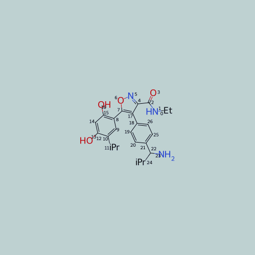 CCNC(=O)c1noc(-c2cc(C(C)C)c(O)cc2O)c1-c1ccc(C(N)C(C)C)cc1